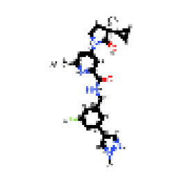 COc1cc(N2CC[C@@](C#N)(C3CC3)C2=O)cc(C(=O)NCc2cc(F)cc(-c3cnn(C)c3)c2)n1